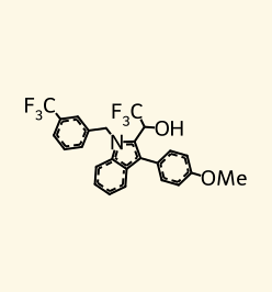 COc1ccc(-c2c(C(O)C(F)(F)F)n(Cc3cccc(C(F)(F)F)c3)c3ccccc23)cc1